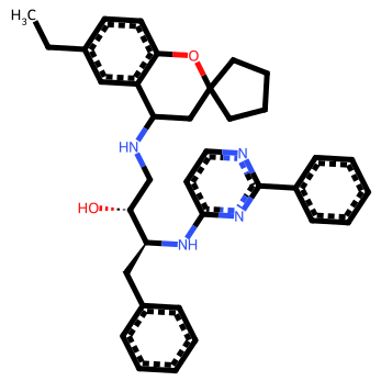 CCc1ccc2c(c1)C(NC[C@@H](O)[C@H](Cc1ccccc1)Nc1ccnc(-c3ccccc3)n1)CC1(CCCC1)O2